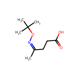 CC(CCC(=O)O)=NOC(C)(C)C